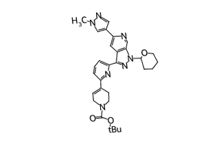 Cn1cc(-c2cc3c(-c4cccc(C5=CCN(C(=O)OC(C)(C)C)CC5)n4)nn(C4CCCCO4)c3cn2)cn1